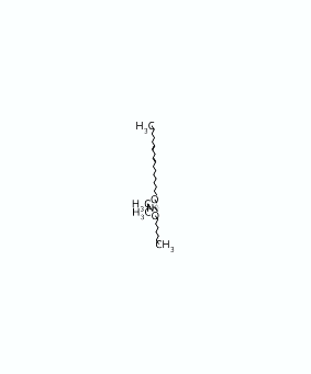 CCCCCC=CCC=CCCCCCCCCOC[C@H](COCCCCCCC)N(C)C